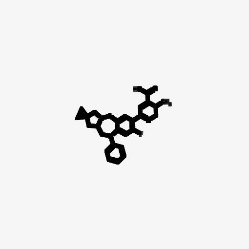 CC1CN=C(c2cc3c(cc2F)N(c2ccccc2)CC2CC4(CC4)CN2S3)C=C1C(=O)O